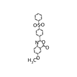 COc1ccc2nc(-c3ccc(S(=O)(=O)c4ccccc4)cc3)oc(=O)c2c1